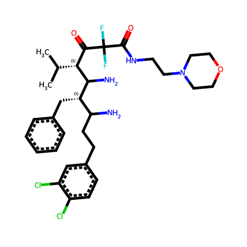 CC(C)[C@H](C(=O)C(F)(F)C(=O)NCCN1CCOCC1)C(N)[C@@H](Cc1ccccc1)C(N)CCc1ccc(Cl)c(Cl)c1